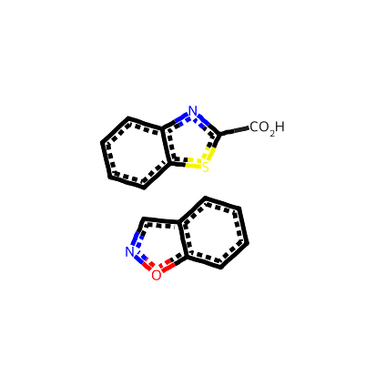 O=C(O)c1nc2ccccc2s1.c1ccc2oncc2c1